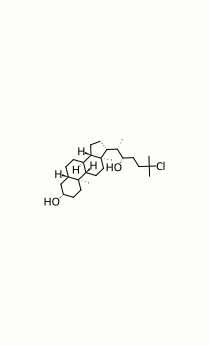 C[C@@H]([C@H]1CC[C@H]2[C@@H]3CC[C@H]4C[C@@H](O)CC[C@]4(C)[C@H]3CC[C@]12C)[C@@H](O)CCC(C)(C)Cl